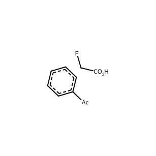 CC(=O)c1ccccc1.O=C(O)CF